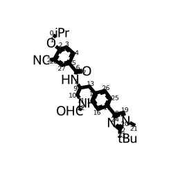 CC(C)Oc1ccc(C(=O)NC(CNC=O)Cc2ccc(-c3cn(C)c(C(C)(C)C)n3)cc2)cc1C#N